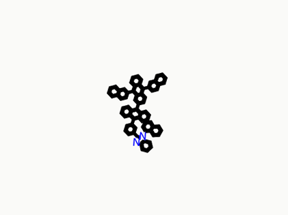 c1cc(-c2c3ccccc3c(-c3ccc4c(-c5ccc6ccccc6c5)c5ccccc5c(-c5ccc6ccccc6c5)c4c3)c3ccccc23)cc(-c2nc3ccccc3n2-c2cccc3ccccc23)c1